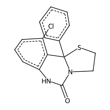 O=C1Nc2cccc(Cl)c2C2(c3ccccc3)SCCN12